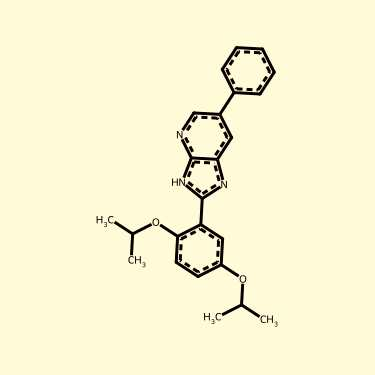 CC(C)Oc1ccc(OC(C)C)c(-c2nc3cc(-c4ccccc4)cnc3[nH]2)c1